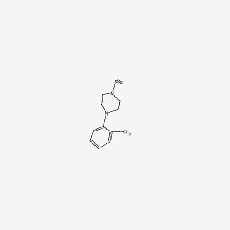 [CH2]CCCN1CCN(c2ccccc2C(F)(F)F)CC1